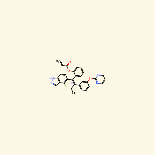 C=CC(=O)Oc1ccccc1/C(=C(/CC)c1cccc(Oc2ncccn2)c1)c1ccc2[nH]ncc2c1F